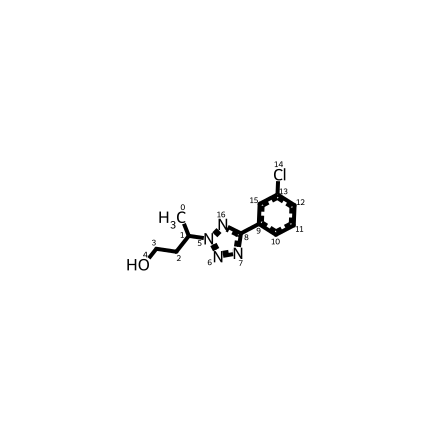 CC(CCO)n1nnc(-c2cccc(Cl)c2)n1